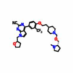 CN1CCC[C@H]1COCN1CCC(CCOc2ccc(-c3nc(C#N)nc4c3ccn4CC3CCCO3)cc2C(F)(F)F)CC1